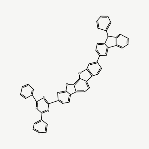 c1ccc(-c2nc(-c3ccccc3)nc(-c3ccc4c(c3)oc3c4ccc4c5ccc(-c6ccc7c(c6)c6ccccc6n7-c6ccccc6)cc5oc43)n2)cc1